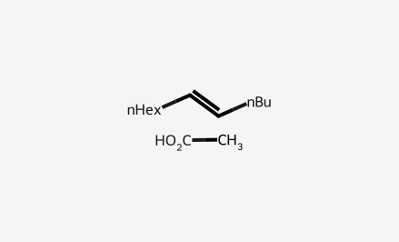 CC(=O)O.CCCC/C=C/CCCCCC